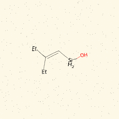 CCC(=C[SiH2]O)CC